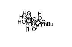 CCCCO[C@@H]1O[C@H](CO)[C@@H](OC2O[C@H](CO)[C@H](O)[C@H](O)[C@H]2O)[C@H](O)[C@H]1O